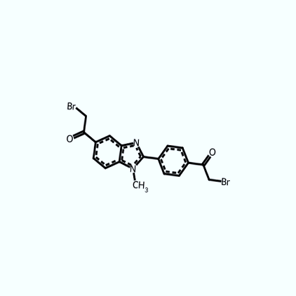 Cn1c(-c2ccc(C(=O)CBr)cc2)nc2cc(C(=O)CBr)ccc21